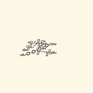 CCCCc1ccc(-c2ccc(C(=O)N[C@@H](CCCCNC(=O)OC(C)(C)C)C(=O)NC(C(=O)N[C@@H](C)C(=O)N[C@@H](CCCCNC(=O)OC(C)(C)C)C(=O)O)c3ccc(OC)cc3)cc2)cc1